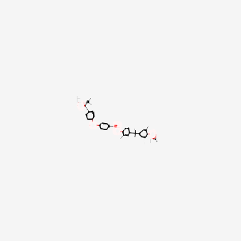 CCC(C)(CC)Oc1ccc(C(C)(C)c2ccc(OC(=O)c3ccc(Oc4ccc(C(=O)C(C)(C)CC)cc4)cc3)c(C)c2)cc1C